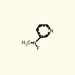 CN(F)c1cccnc1